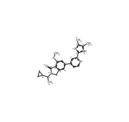 CSc1cc(-c2ccnc(-c3nc(C)c(C)[nH]3)c2)cc2c1C(=O)N(C(C)C1CC1)C2